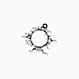 C/C=C(\C)[C@H]1OC(=O)[C@H](C)N(C)C(=O)C(C(C)CC)NC(=O)CN(C)C(=O)[C@@H](Cc2ccccc2)N(C)C(=O)[C@H](C)NC(=O)[C@@H](CC(C)C)OC(=O)/C(C)=C/C[C@@H](OCSC)[C@H]1C